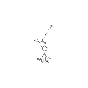 CCCCCCCC(=O)N(C)Cc1cccc(B2OC(C)(C)C(C)(C)O2)c1